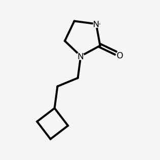 O=C1[N]CCN1CCC1CCC1